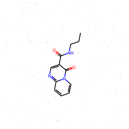 CCCNC(=O)c1cnc2ccccn2c1=O